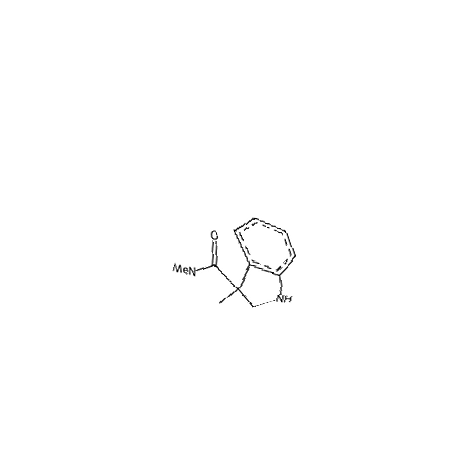 CNC(=O)C1(C)CNc2ccccc21